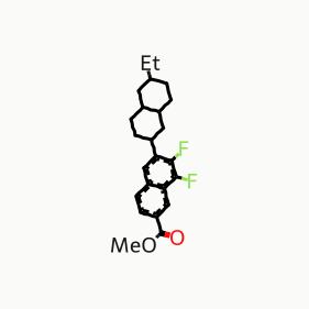 CCC1CCC2CC(c3cc4ccc(C(=O)OC)cc4c(F)c3F)CCC2C1